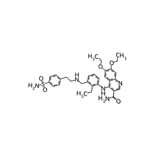 CCOc1cc2ncc(C(N)=O)c(Nc3cccc(CNCCc4ccc(S(N)(=O)=O)cc4)c3CC)c2cc1OCC